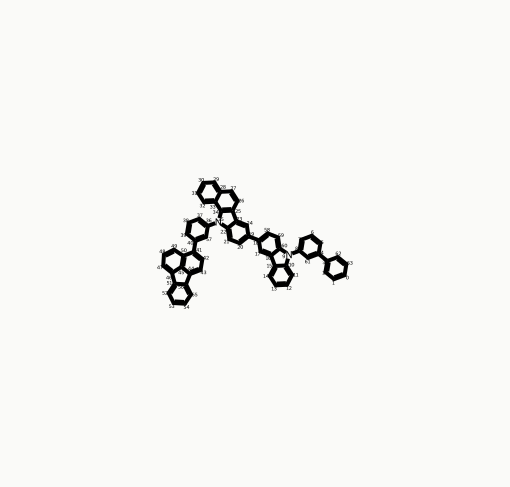 c1ccc(-c2cccc(-n3c4ccccc4c4cc(-c5ccc6c(c5)c5ccc7ccccc7c5n6-c5cccc(-c6ccc7c8c(cccc68)-c6ccccc6-7)c5)ccc43)c2)cc1